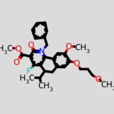 COCCCOc1cc2c(cc1OC)-c1c(c(F)c(C(=O)OC)c(=O)n1Cc1ccccc1)C(C(C)C)C2